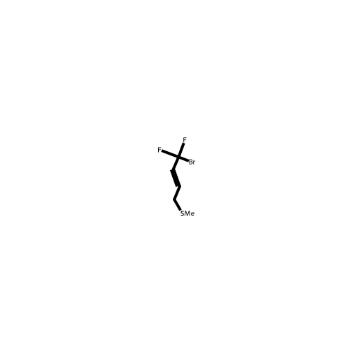 CSCC=CC(F)(F)Br